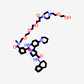 CN(CCOCCOCCOCCC(=O)N1CCN(CCOCCO)CC1)C(=O)c1cccc(C(=O)NC2CC=C(N3CCCCC3)C=C2c2cc(C(=O)N[C@H]3CCCc4ccccc43)ccn2)c1